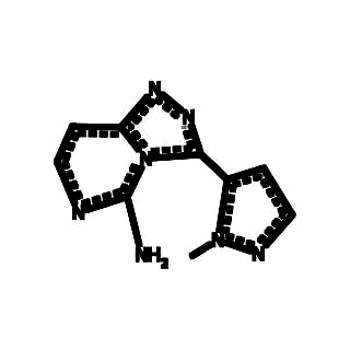 Cn1nccc1-c1nnc2ccnc(N)n12